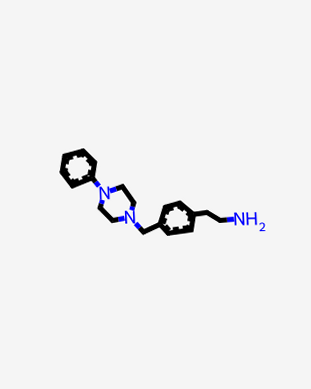 NCCc1ccc(CN2CCN(c3ccccc3)CC2)cc1